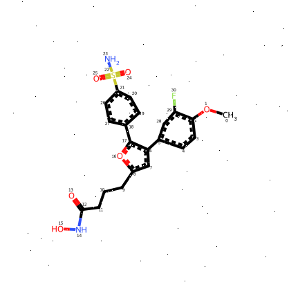 COc1ccc(-c2cc(CCCC(=O)NO)oc2-c2ccc(S(N)(=O)=O)cc2)cc1F